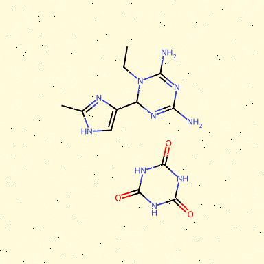 CCN1C(N)=NC(N)=NC1c1c[nH]c(C)n1.O=c1[nH]c(=O)[nH]c(=O)[nH]1